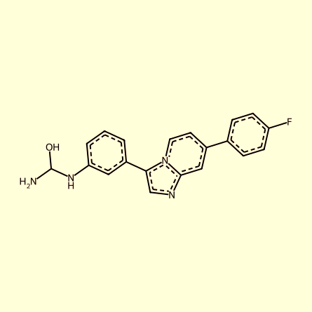 NC(O)Nc1cccc(-c2cnc3cc(-c4ccc(F)cc4)ccn23)c1